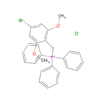 COc1cc(Br)cc(OC)c1C[P+](c1ccccc1)(c1ccccc1)c1ccccc1.[Cl-]